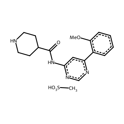 COc1ccccc1-c1cc(NC(=O)C2CCNCC2)ncn1.CS(=O)(=O)O